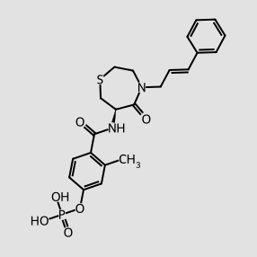 Cc1cc(OP(=O)(O)O)ccc1C(=O)N[C@H]1CSCCN(CC=Cc2ccccc2)C1=O